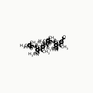 CCN(c1c(C)c(C(=O)NCc2c(C)cc(C)n(C(N(C)C3CCC(N(CC)c4c(C)c(C(=O)NCc5c(C)cc(C)[nH]c5=O)cc5c4cnn5C)CC3)C(F)(F)F)c2=O)cc(NC)c1C=N)C1CCN(C2COC2)CC1